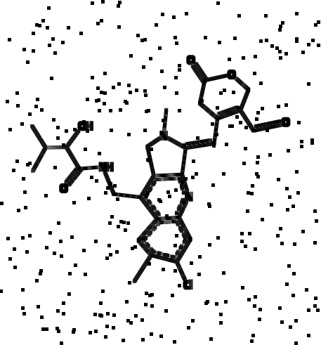 Cc1cc2c(CNC(=O)C(O)C(C)C)c3c(nc2cc1Cl)/C(=C/C1=C(C=O)COC(=O)C1)N(C)C3